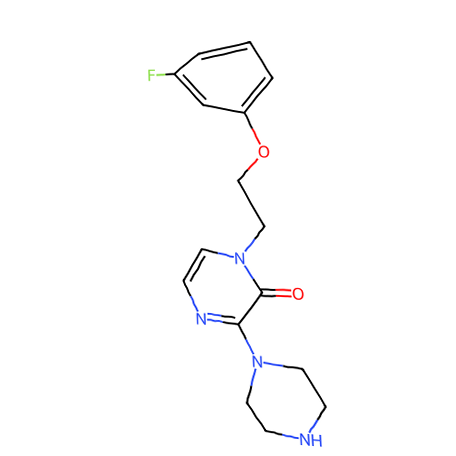 O=c1c(N2CCNCC2)nccn1CCOc1cccc(F)c1